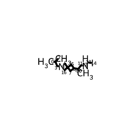 CC(C)CN1CC2(CC([C@@H](C)CNCI)C2)C1